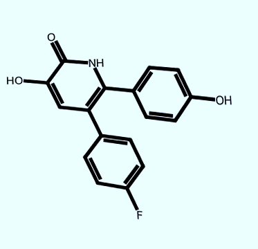 O=c1[nH]c(-c2ccc(O)cc2)c(-c2ccc(F)cc2)cc1O